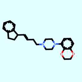 C(=CC1CCc2ccccc21)CCN1CCN(c2cccc3c2OCCO3)CC1